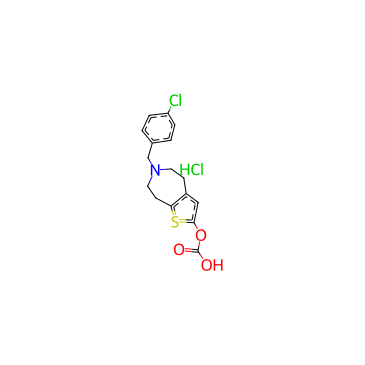 Cl.O=C(O)Oc1cc2c(s1)CCN(Cc1ccc(Cl)cc1)CC2